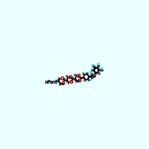 CCCCCC1COC(C2COC(C3COC(C4CCC(C(F)(F)Oc5cc(F)c(F)c(F)c5)CC4)OC3)OC2)OC1